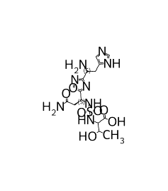 CC(O)C(NS(=O)(=O)N[C@@H](CC(N)=O)c1nc([C@@H](N)Cc2cnc[nH]2)no1)C(=O)O